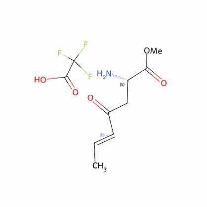 C/C=C/C(=O)C[C@H](N)C(=O)OC.O=C(O)C(F)(F)F